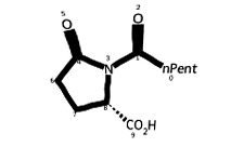 CCCCCC(=O)N1C(=O)CC[C@H]1C(=O)O